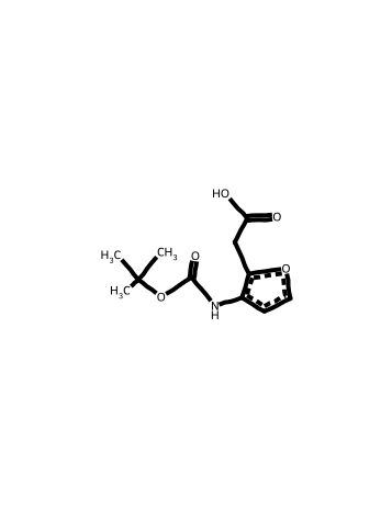 CC(C)(C)OC(=O)Nc1ccoc1CC(=O)O